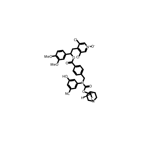 COc1ccc(C(Cc2c(Cl)c[n+]([O-])cc2Cl)OC(=O)c2ccc(CN(C(=O)O[C@H]3CN4CCC3CC4)c3cc(O)cc(C#N)c3)cc2)cc1OC